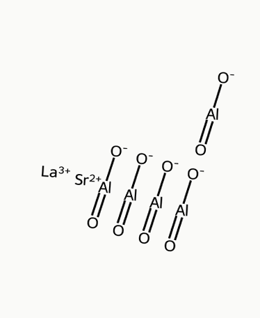 [La+3].[O]=[Al][O-].[O]=[Al][O-].[O]=[Al][O-].[O]=[Al][O-].[O]=[Al][O-].[Sr+2]